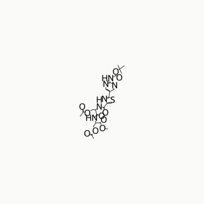 COC(=O)C(COC(C)=O)NC(=O)C(COC(C)=O)NC(=O)c1csc(-c2cnc(NC(=O)OC(C)(C)C)nc2)n1